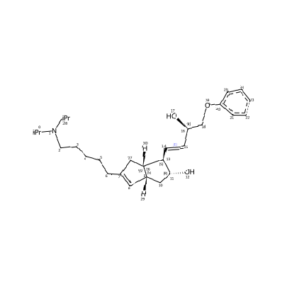 CC(C)N(CCCCCC1=C[C@H]2C[C@@H](O)[C@H](/C=C/[C@@H](O)COc3ccccc3)[C@H]2C1)C(C)C